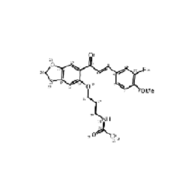 COc1ccc(/C=C/C(=O)c2cc3c(cc2OCCCNC(=O)C(F)(F)F)SCO3)cc1F